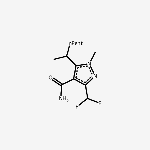 CCCCCC(C)c1c(C(N)=O)c(C(F)F)nn1C